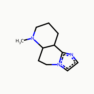 CN1CCCC2c3nccn3CCC21